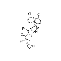 CC(C)C1=C(C(=O)N(C[C@@H]2CCN2)C(C)C)SC2=N[C@@](C)(c3ccc(Cl)cc3)[C@@H](c3ccc(Cl)cc3)N21